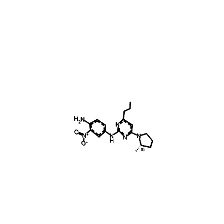 CCCc1cc(N2CCC[C@@H]2C)nc(Nc2ccc(N)c([N+](=O)[O-])c2)n1